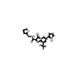 O=C(NCc1cccs1)c1nc2c(C(F)(F)F)cc(-c3ccc[nH]3)cn2c1Cl